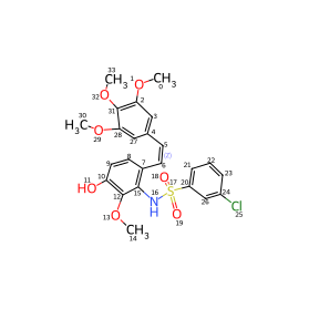 COc1cc(/C=C\c2ccc(O)c(OC)c2NS(=O)(=O)c2cccc(Cl)c2)cc(OC)c1OC